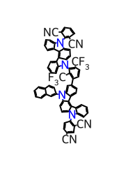 N#Cc1ccc(-n2c3ccccc3c3c4c5ccc(-c6ccc(C(F)(F)F)c(-n7c8ccccc8c8c9c%10ccccc%10n(-c%10c(C#N)cccc%10C#N)c9ccc87)c6C(F)(F)F)cc5n(-c5ccc6ccccc6c5)c4ccc32)c(C#N)c1